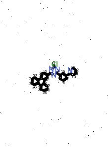 Clc1nc(-c2cccc(-c3ccccn3)c2)nc(-c2ccc3c4ccccc4c4ccccc4c3c2)n1